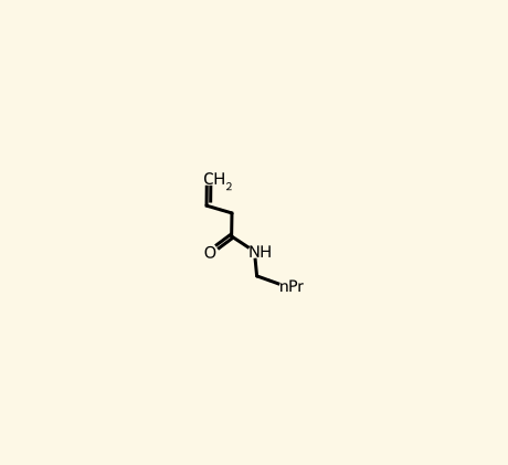 C=CCC(=O)NCCCC